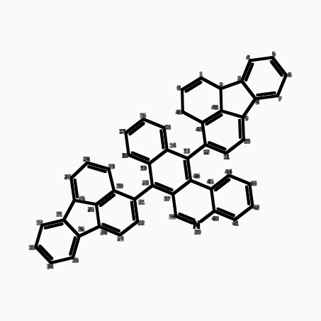 C1=CC2c3ccccc3-c3ccc(-c4c5ccccc5c(-c5ccc6c7c(cccc57)-c5ccccc5-6)c5cnc6ccccc6c45)c(c32)C1